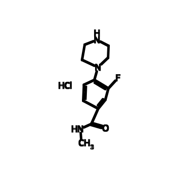 CNC(=O)c1ccc(N2CCNCC2)c(F)c1.Cl